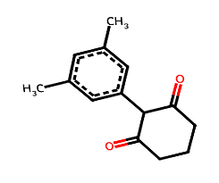 Cc1cc(C)cc(C2C(=O)CCCC2=O)c1